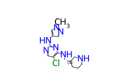 Cn1cc(Nc2ncc(Cl)c(NC[C@H]3CCCNC3)n2)cn1